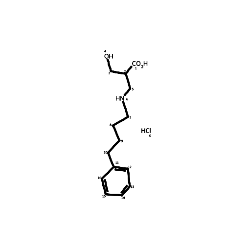 Cl.O=C(O)C(CO)CNCCCCc1ccccc1